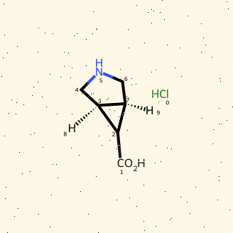 Cl.O=C(O)C1[C@H]2CNC[C@@H]12